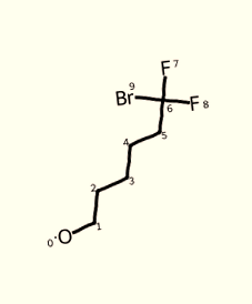 [O]CCCCCC(F)(F)Br